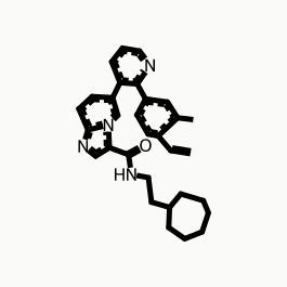 C=Cc1ccc(-c2ncccc2-c2ccc3ncc(C(=O)NCCC4CCCCCC4)n3c2)cc1C